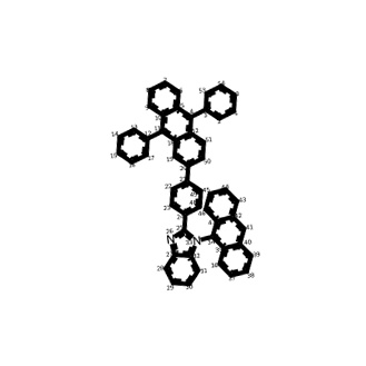 c1ccc(-c2c3ccccc3c(-c3ccccc3)c3cc(-c4ccc(-c5nc6ccccc6n5-c5c6ccccc6cc6ccccc56)cc4)ccc23)cc1